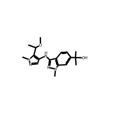 COC(C)c1c(Nc2nn(C)c3cc(C(C)(C)O)ccc23)cnn1C